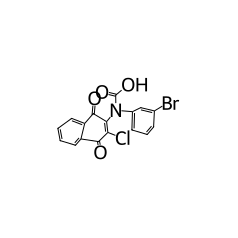 O=C1C(Cl)=C(N(C(=O)O)c2cccc(Br)c2)C(=O)c2ccccc21